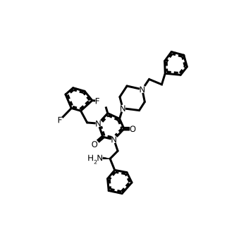 Cc1c(N2CCN(CCc3ccccc3)CC2)c(=O)n(C[C@H](N)c2ccccc2)c(=O)n1Cc1c(F)cccc1F